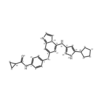 O=C(Nc1ccc(Sc2cc3nccn3c(Nc3cc(C4CCCC4)[nH]n3)n2)cc1)C1CC1